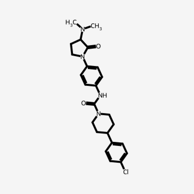 CN(C)C1CCN(c2ccc(NC(=O)N3CCC(c4ccc(Cl)cc4)CC3)cc2)C1=O